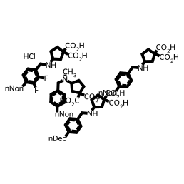 CCCCCCCCCCc1ccc(CNC2CCC(C(=O)O)(C(=O)O)C2)cc1.CCCCCCCCCc1ccc(CN(C)C2CCC(C(=O)O)(C(=O)O)C2)cc1.CCCCCCCCCc1ccc(CNC2CCC(C(=O)O)(C(=O)O)C2)c(F)c1F.CCCCCCCCCc1ccc(CNC2CCC(C(=O)O)(C(=O)O)C2)cc1.Cl